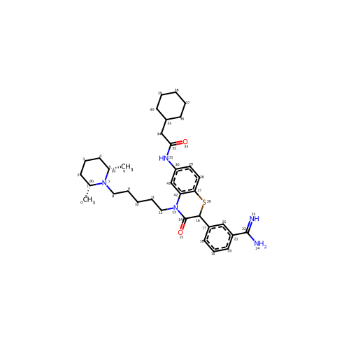 C[C@@H]1CCC[C@H](C)N1CCCCCN1C(=O)C(c2cccc(C(=N)N)c2)Sc2ccc(NC(=O)CC3CCCCC3)cc21